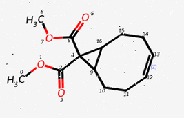 COC(=O)C1(C(=O)OC)C2CC/C=C\CCC21